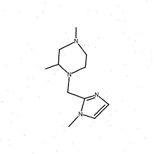 CC1CN(C)CCN1Cc1nccn1C